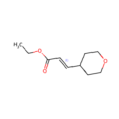 CCOC(=O)/C=C/C1CCOCC1